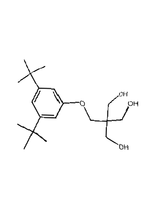 CC(C)(C)c1cc(OCC(CO)(CO)CO)cc(C(C)(C)C)c1